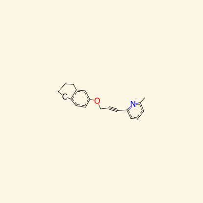 Cc1cccc(C#CCOc2ccc3c(c2)CCCC3)n1